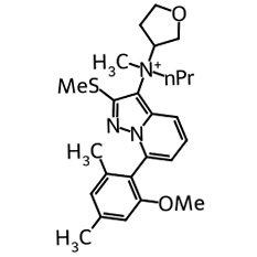 CCC[N+](C)(c1c(SC)nn2c(-c3c(C)cc(C)cc3OC)cccc12)C1CCOC1